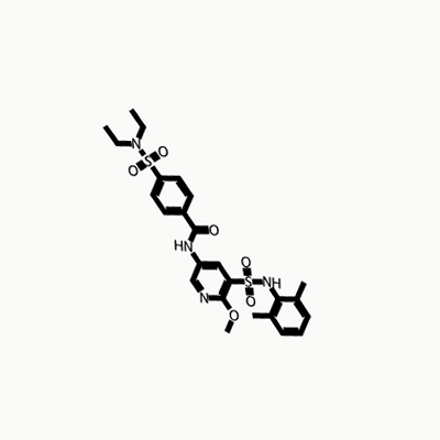 CCN(CC)S(=O)(=O)c1ccc(C(=O)Nc2cnc(OC)c(S(=O)(=O)Nc3c(C)cccc3C)c2)cc1